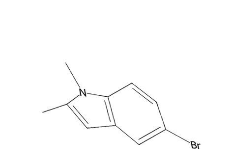 Cc1cc2cc(Br)ccc2n1C